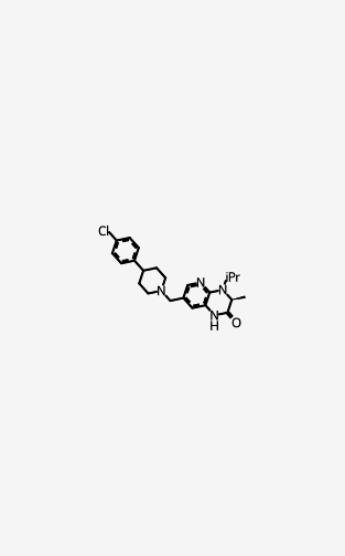 CC(C)N1c2ncc(CN3CCC(c4ccc(Cl)cc4)CC3)cc2NC(=O)[C@@H]1C